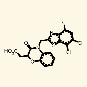 O=C(O)CC1Oc2ccccc2N(Cc2nc3c(Cl)cc(Cl)c(Cl)c3s2)C1=O